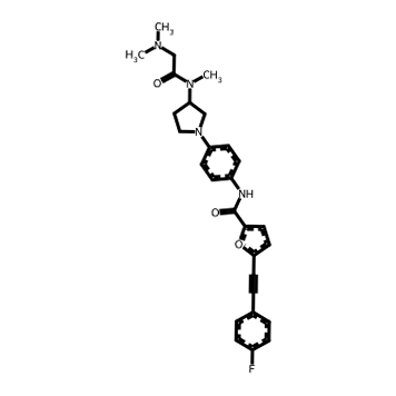 CN(C)CC(=O)N(C)C1CCN(c2ccc(NC(=O)c3ccc(C#Cc4ccc(F)cc4)o3)cc2)C1